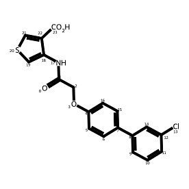 O=C(COc1ccc(-c2cccc(Cl)c2)cc1)Nc1cscc1C(=O)O